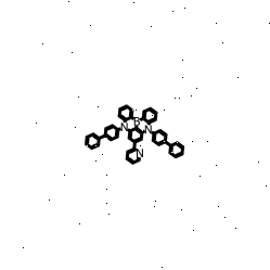 c1ccc(-c2ccc(N3c4ccccc4B4c5ccccc5N(c5ccc(-c6ccccc6)cc5)c5cc(-c6ccccn6)cc3c54)cc2)cc1